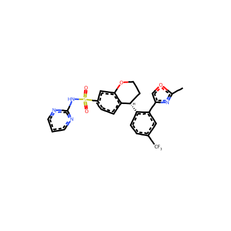 Cc1nc(-c2cc(C(F)(F)F)ccc2[C@H]2CCOc3cc(S(=O)(=O)Nc4ncccn4)ccc32)co1